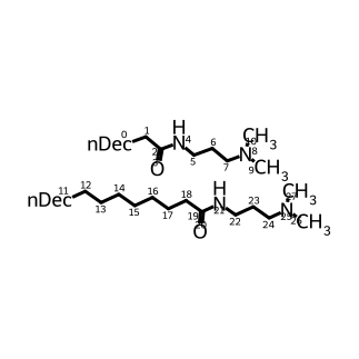 CCCCCCCCCCCC(=O)NCCCN(C)C.CCCCCCCCCCCCCCCCCC(=O)NCCCN(C)C